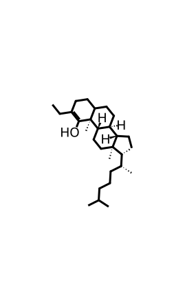 CCC1=C(O)[C@@]2(C)C(CC1)CC[C@H]1[C@@H]3CC[C@H]([C@H](C)CCCC(C)C)[C@@]3(C)CC[C@@H]12